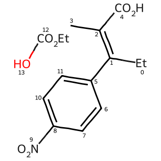 CCC(=C(C)C(=O)O)c1ccc([N+](=O)[O-])cc1.CCOC(=O)O